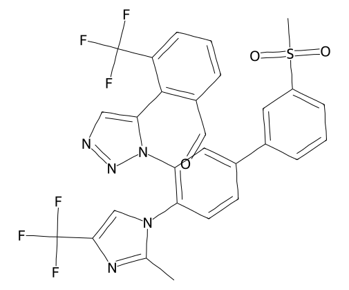 Cc1nc(C(F)(F)F)cn1-c1ccc(-c2cccc(S(C)(=O)=O)c2)cc1-n1nncc1-c1c(C=O)cccc1C(F)(F)F